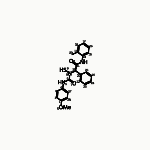 COc1ccc(NC(=O)N(S)C(C(=O)Nc2ccccc2C)c2ccccc2)cc1